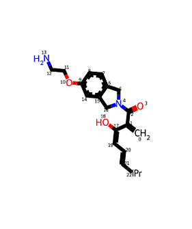 C=C(C(=O)N1Cc2ccc(OCCN)cc2C1)/C(O)=C\C=C\C(C)C